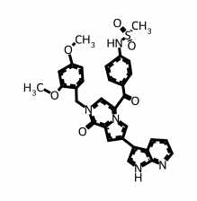 COc1ccc(Cn2cc(C(=O)c3ccc(NS(C)(=O)=O)cc3)n3cc(-c4c[nH]c5ncccc45)cc3c2=O)c(OC)c1